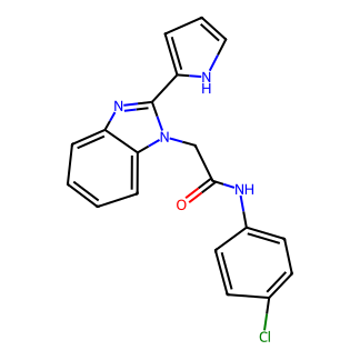 O=C(Cn1c(-c2ccc[nH]2)nc2ccccc21)Nc1ccc(Cl)cc1